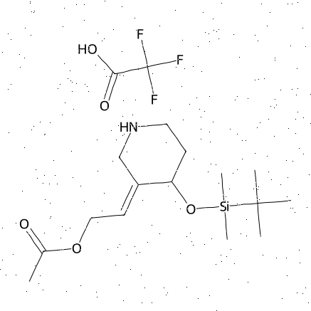 CC(=O)OCC=C1CNCCC1O[Si](C)(C)C(C)(C)C.O=C(O)C(F)(F)F